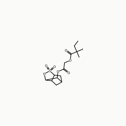 CCC(C)(I)C(=O)OCC(=O)OC1C2CC3C1OS(=O)(=O)C3C2